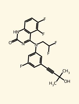 CC(C)(O)C#Cc1cc(F)cc(N(CC(F)F)c2nc(=O)[nH]c3ccc(F)c(F)c23)c1